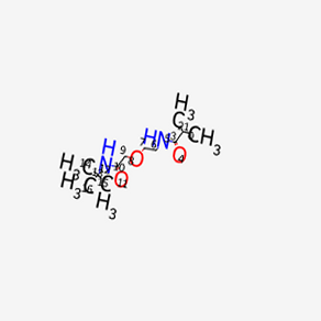 CC(C)C(=O)NCCOCC(=O)NC(C)(C)C